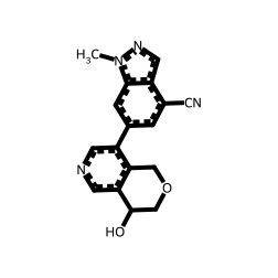 Cn1ncc2c(C#N)cc(-c3cncc4c3COCC4O)cc21